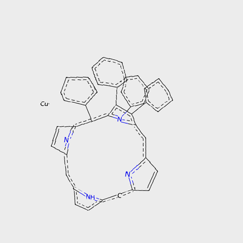 C1=Cc2cc3c(-c4ccccc4)c(-c4ccccc4)c(c(-c4ccccc4)c4nc(cc5ccc(cc1n2)[nH]5)C=C4)n3-c1ccccc1.[Cu]